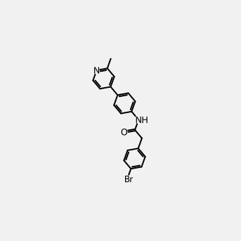 Cc1cc(-c2ccc(NC(=O)Cc3ccc(Br)cc3)cc2)ccn1